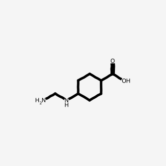 NCNC1CCC(C(=O)O)CC1